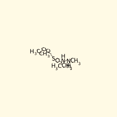 CCNCCNC(c1ccc(SCCCCOc2cccc(C(C)C)c2)cc1)C(C)C